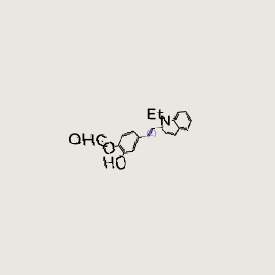 CC[n+]1c(/C=C/c2ccc(OC=O)c(O)c2)ccc2ccccc21